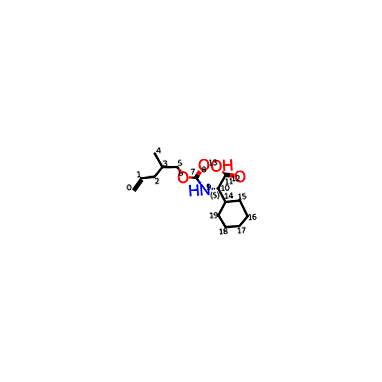 C=CCC(C)COC(=O)N[C@H](C(=O)O)C1CCCCC1